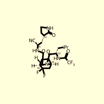 CC(C)C[C@H](NC(=O)C(F)(F)F)C(=O)N1[C@H]2CC[C@@H]([C@@H]1C(=O)N[C@@H](C#N)C[C@@H]1CCNC1=O)C(F)(F)C2